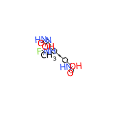 C[C@@H](CF)NCC(Cc1nc[nH]c(=O)c1O)c1ccc(C#Cc2ccc(CN[C@]3(O)CCOC3)cc2)cc1